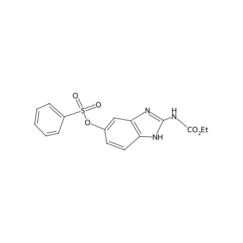 CCOC(=O)Nc1nc2cc(OS(=O)(=O)c3ccccc3)ccc2[nH]1